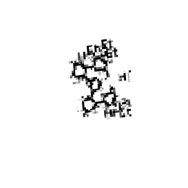 CC[Si](CC)(CC)c1cc(C)cc(-c2ccccc2-c2cccc(-c3ccccc3-c3cc(C)cc([Si](CC)(CC)CC)c3O)n2)c1O.[Hf]